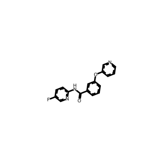 O=C(Nc1ccc(F)cn1)c1cccc(Oc2cccnc2)c1